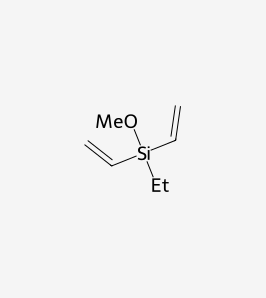 C=C[Si](C=C)(CC)OC